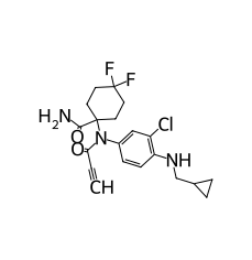 C#CC(=O)N(c1ccc(NCC2CC2)c(Cl)c1)C1(C(N)=O)CCC(F)(F)CC1